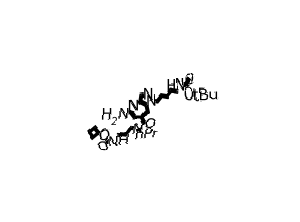 CCCN(CCCNC(=O)OC1CCC1)C(=O)C1=Cc2c(cnn2CCCCCNC(=O)OC(C)(C)C)N=C(N)C1